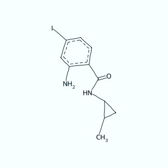 CC1CC1NC(=O)c1ccc(I)cc1N